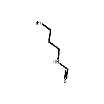 CC(C)CCCNC=S